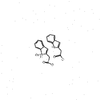 O=C([O-])Cc1cc2ccccc2[nH]1.O=C([O-])Cc1cc2ccccc2[nH]1.[Zn+2]